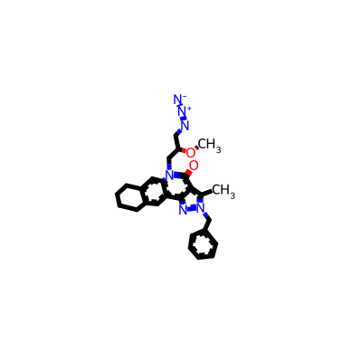 COC(CN=[N+]=[N-])Cn1c(=O)c2c(C)n(Cc3ccccc3)nc2c2cc3c(cc21)CCCC3